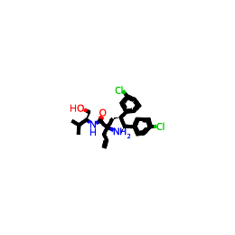 C=CCC(N)(C[C@H](c1cccc(Cl)c1)[C@@H](C)c1ccc(Cl)cc1)C(=O)N[C@H](CO)C(C)C